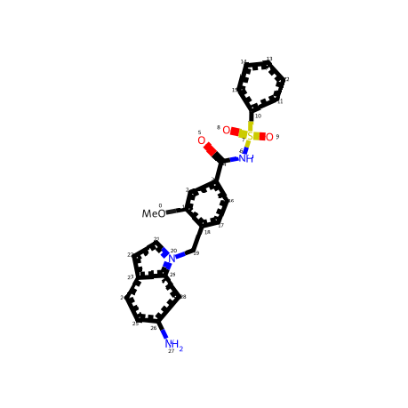 COc1cc(C(=O)NS(=O)(=O)c2ccccc2)ccc1Cn1ccc2ccc(N)cc21